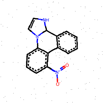 O=[N+]([O-])c1cccc2c1-c1ccccc1C1NC=CN21